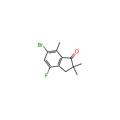 Cc1c(Br)cc(F)c2c1C(=O)C(C)(C)C2